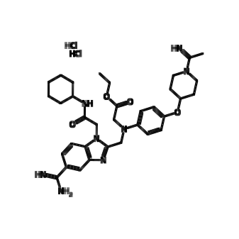 CCOC(=O)CN(Cc1nc2cc(C(=N)N)ccc2n1CC(=O)NC1CCCCC1)c1ccc(OC2CCN(C(C)=N)CC2)cc1.Cl.Cl